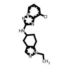 CCn1ncc2c1CCC(Nc1nc3c(Cl)cccn3n1)C2